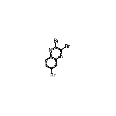 Brc1ccc2nc(Br)c(Br)nc2c1